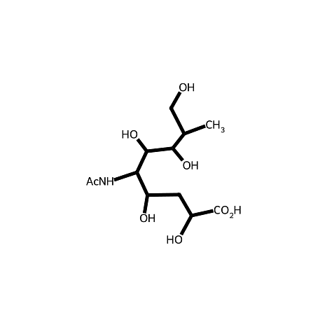 CC(=O)NC(C(O)CC(O)C(=O)O)C(O)C(O)C(C)CO